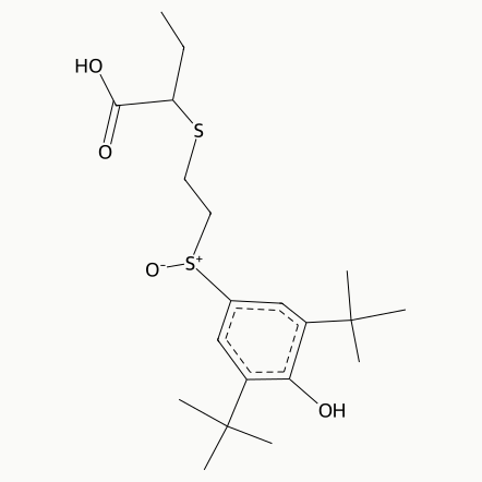 CCC(SCC[S+]([O-])c1cc(C(C)(C)C)c(O)c(C(C)(C)C)c1)C(=O)O